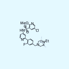 CCN1[C@H](C)CN(Cc2ccc(-c3cc(NS(=O)(=O)c4cc(Cl)cnc4OC)ccn3)c(F)c2)C[C@@H]1C